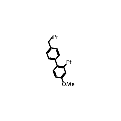 CCc1cc(OC)ccc1-c1ccc(CC(C)C)cc1